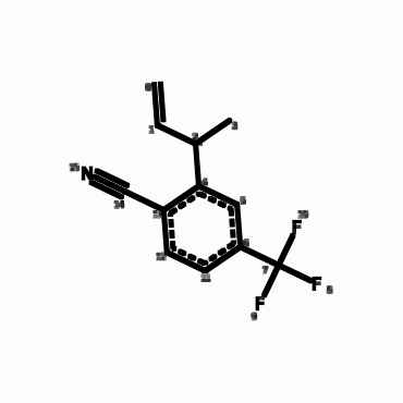 C=C[C](C)c1cc(C(F)(F)F)ccc1C#N